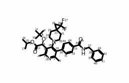 Cc1nc(C)c([C@H](OC(C)(C)C)C(=O)OC(C)C)c(N2CCC3(CC2)CC3(F)F)c1-c1ccc(C(=O)NCc2ccccc2)cc1